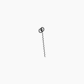 CCCCCCCCCCCCCCCCCCCCCCCC(=O)OC(C)C